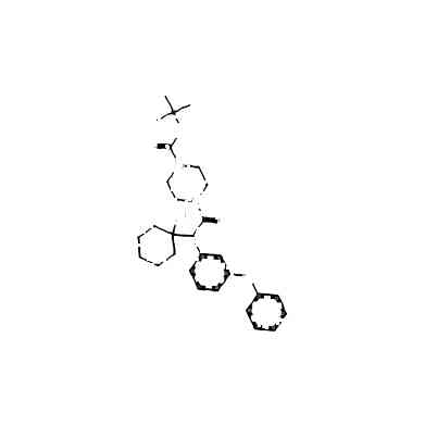 CC(C)(C)OC(=O)N1CCN(C(=O)C(c2cccc(Oc3ccccc3)c2)C2(O)CCCCC2)CC1